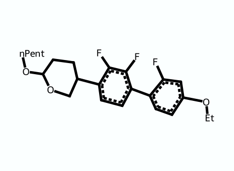 CCCCCOC1CCC(c2ccc(-c3ccc(OCC)cc3F)c(F)c2F)CO1